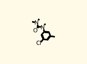 Cc1cc(Cl)cc(N(C)C(=O)N(C)C)c1